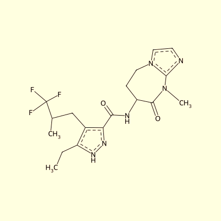 CCc1[nH]nc(C(=O)NC2CCn3ccnc3N(C)C2=O)c1CC(C)C(F)(F)F